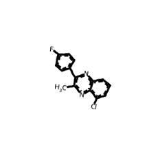 Cc1nc2c(Cl)cccc2nc1-c1ccc(F)cc1